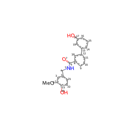 COc1cc(CNC(=O)c2cccc(-c3cccc(O)c3)c2)ccc1O